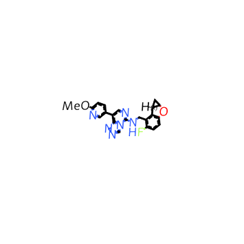 COc1ccc(-c2cnc(NCc3c(F)ccc4c3[C@H]3CC3O4)n3cnnc23)cn1